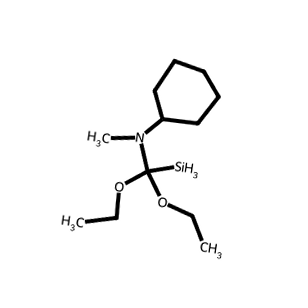 CCOC([SiH3])(OCC)N(C)C1CCCCC1